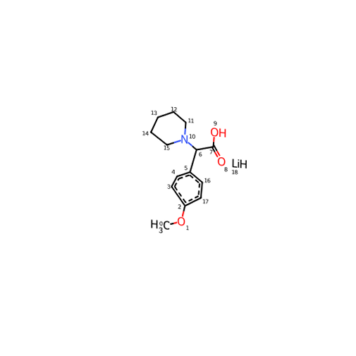 COc1ccc(C(C(=O)O)N2CCCCC2)cc1.[LiH]